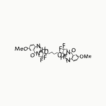 COc1ccc2c(c1)C(=O)N1CC(F)(F)C(OCCCCOC3[C@H]4C=Nc5ccc(OC)cc5C(=O)N4CC3(F)F)[C@H]1C=N2